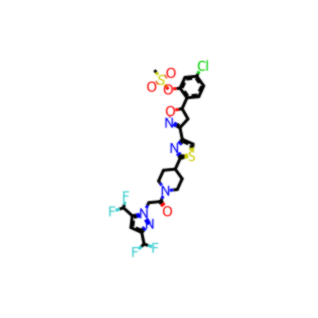 CS(=O)(=O)Oc1cc(Cl)ccc1C1CC(c2csc(C3CCN(C(=O)Cn4nc(C(F)F)cc4C(F)F)CC3)n2)=NO1